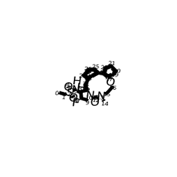 CCS(=O)(=O)N[C@H]1[C@@H](F)CN2C(=O)N(C)CCOc3ccccc3-c3cccc(c3F)C[C@@H]12